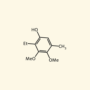 CCc1c(O)cc(C)c(OC)c1OC